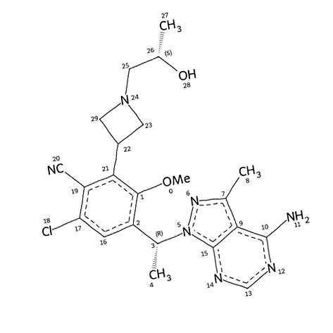 COc1c([C@@H](C)n2nc(C)c3c(N)ncnc32)cc(Cl)c(C#N)c1C1CN(C[C@H](C)O)C1